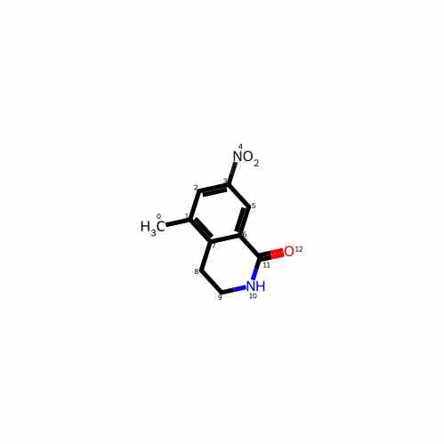 Cc1cc([N+](=O)[O-])cc2c1CCNC2=O